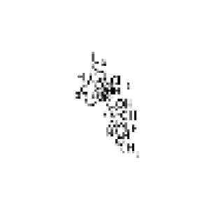 COc1nc(F)nc2c1ncn2C1OC(CO[P@](=O)(N[C@@H](C)C(=O)OC(C)C)OCc2ccccc2C)C(O)C1O